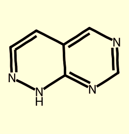 C1=Cc2cncnc2NN=1